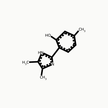 Cc1ccc(-c2nc(C)c(C)[nH]2)c(O)c1